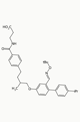 CC(CCc1ccc(C(=O)NCCC(=O)O)cc1)COc1ccc(-c2ccc(C(C)C)cc2)c(C=NOC(C)(C)C)c1